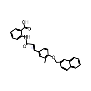 Cc1cc(/C=C/C(=O)Nc2ccccc2C(=O)O)ccc1OCc1ccc2ccccc2c1